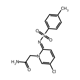 Cc1ccc(S(=O)(=O)/N=c2\ccc(Cl)cn2CC(N)=O)cc1